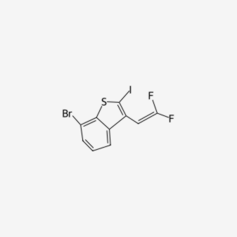 FC(F)=Cc1c(I)sc2c(Br)cccc12